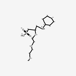 COCCOCCOC(CNC1CCCCC1)CS(=O)(=O)O